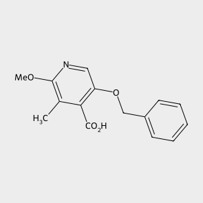 COc1ncc(OCc2ccccc2)c(C(=O)O)c1C